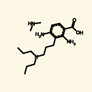 CCCN(CCC)CCCc1c(N)ccc(C(=O)O)c1N.CNC